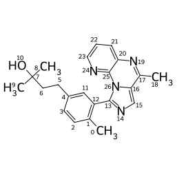 Cc1ccc(CCC(C)(C)O)cc1-c1ncc2c(C)nc3cccnc3n12